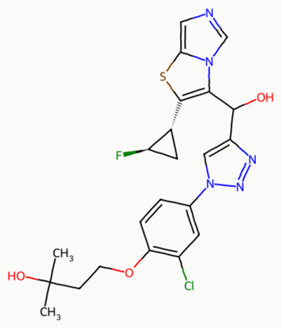 CC(C)(O)CCOc1ccc(-n2cc(C(O)c3c([C@@H]4C[C@H]4F)sc4cncn34)nn2)cc1Cl